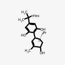 CCCCCCC(C)(C)c1cc(O)c(C2C=C(C)C(O)C[C@H]2C(C)C)c(O)c1